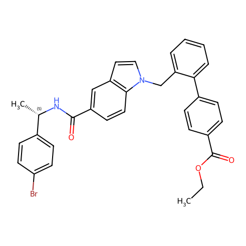 CCOC(=O)c1ccc(-c2ccccc2Cn2ccc3cc(C(=O)N[C@@H](C)c4ccc(Br)cc4)ccc32)cc1